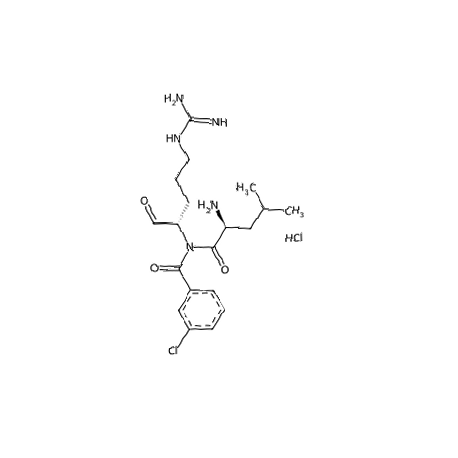 CC(C)C[C@H](N)C(=O)N(C(=O)c1cccc(Cl)c1)[C@H](C=O)CCCNC(=N)N.Cl